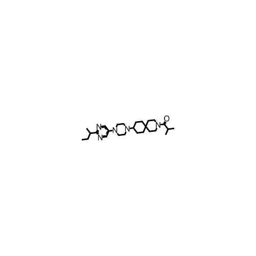 CCC(C)c1ncc(N2CCN(C3CCC4(CC3)CCN(C(=O)C(C)C)CC4)CC2)cn1